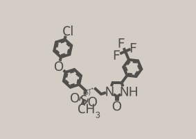 CS(=O)(=O)[C@@H](CCN1CC(c2cccc(C(F)(F)F)c2)NC1=O)c1ccc(Oc2ccc(Cl)cc2)cc1